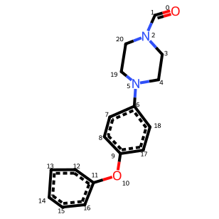 O=CN1CCN(c2ccc(Oc3ccccc3)cc2)CC1